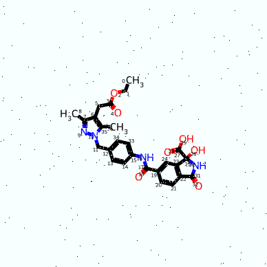 CCOC(=O)Cc1c(C)nn(Cc2ccc(NC(=O)c3ccc4c(c3)C(O)(C(=O)O)NC4=O)cc2)c1C